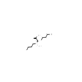 CCCCN(N)[C@@H](CCCCN)C(=O)O